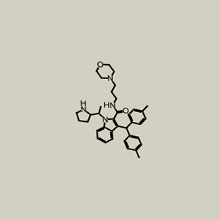 Cc1ccc(C(c2ccc(C)cc2)c2c(C(=O)NCCCN3CCOCC3)n(C(C)C3CCCN3)c3ccccc23)cc1